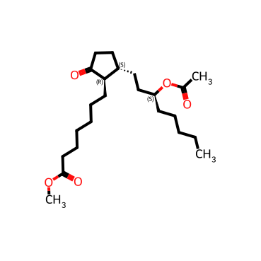 CCCCC[C@@H](CC[C@H]1CCC(=O)[C@@H]1CCCCCCC(=O)OC)OC(C)=O